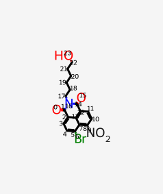 O=C1c2ccc(Br)c3c([N+](=O)[O-])ccc(c23)C(=O)N1CCCCCCO